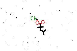 CC(C)CC(C)(C)C(=O)OCCl